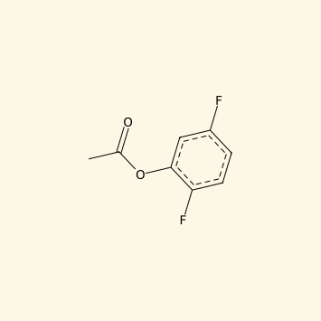 CC(=O)Oc1cc(F)ccc1F